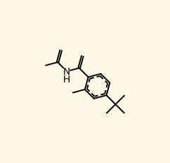 C=C(C)NC(=C)c1ccc(C(C)(C)C)cc1C